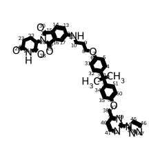 CC(C)(c1ccc(OCCCNc2ccc3c(c2)C(=O)N(C2CCC(=O)NC2=O)C3=O)cc1)c1ccc(OCc2ccnc(-n3ccnn3)n2)cc1